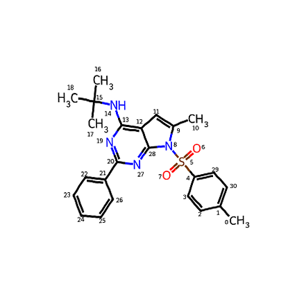 Cc1ccc(S(=O)(=O)n2c(C)cc3c(NC(C)(C)C)nc(-c4ccccc4)nc32)cc1